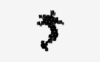 CC(=O)OCC1OC(Oc2cc3oc4c(C(=O)NCCCCN5C(=O)C=CC5=O)c(=O)ccc-4nc3cc2Cl)C(OC(C)=O)C(OC(C)=O)C1OC(C)=O